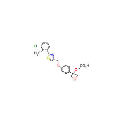 Cc1c(Cl)cccc1-c1nc(COc2ccc(C3(OCC(=O)O)COC3)cc2)cs1